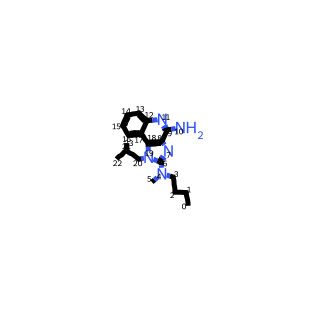 CCCCN(C)c1nc2c(N)nc3ccccc3c2n1CC(C)C